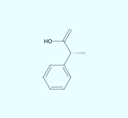 C=C(O)[C@H](C)c1ccccc1